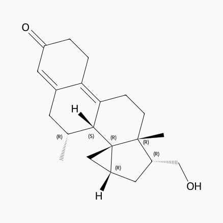 C[C@@H]1CC2=CC(=O)CCC2=C2CC[C@]3(C)[C@H](CO)C[C@@H]4C[C@]43[C@@H]21